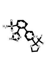 NS(=O)(=O)c1cccc(-c2ccc(C3(C(F)(F)F)OCCO3)nc2)c1-c1nn[nH]n1